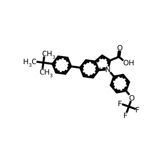 CC(C)(C)c1ccc(-c2ccc3c(c2)cc(C(=O)O)n3-c2ccc(OC(F)(F)F)cc2)cc1